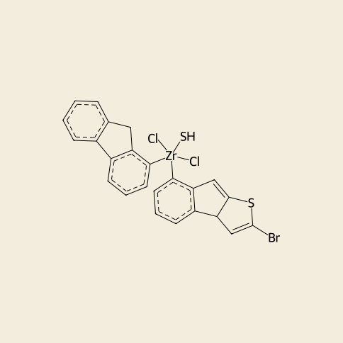 [SH][Zr]([Cl])([Cl])([c]1cccc2c1C=C1SC(Br)=CC12)[c]1cccc2c1Cc1ccccc1-2